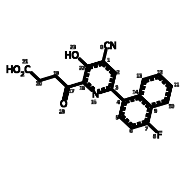 N#Cc1cc(-c2ccc(F)c3ccccc23)nc(C(=O)CCC(=O)O)c1O